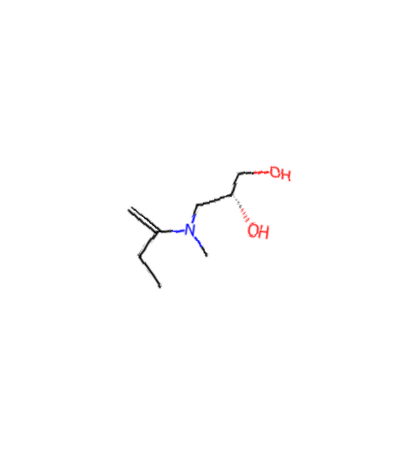 C=C(CC)N(C)C[C@@H](O)CO